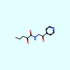 CCCC(=O)C(=O)NCC(=O)c1ccncc1